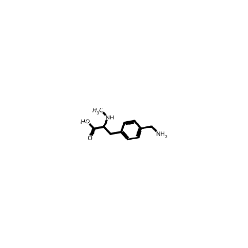 CNC(Cc1ccc(CN)cc1)C(=O)O